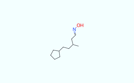 CC(CC=NO)CCC1CCCC1